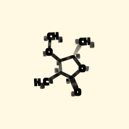 COC1C(C)C(=O)O[C@H]1C